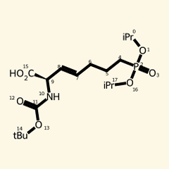 CC(C)OP(=O)(CCCC=C[C@@H](NC(=O)OC(C)(C)C)C(=O)O)OC(C)C